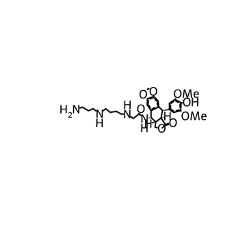 COc1cc([C@@H]2c3cc4c(cc3[C@@H](NC(=O)CNCCCCNCCCN)[C@H]3COC(=O)[C@H]23)OCO4)cc(OC)c1O